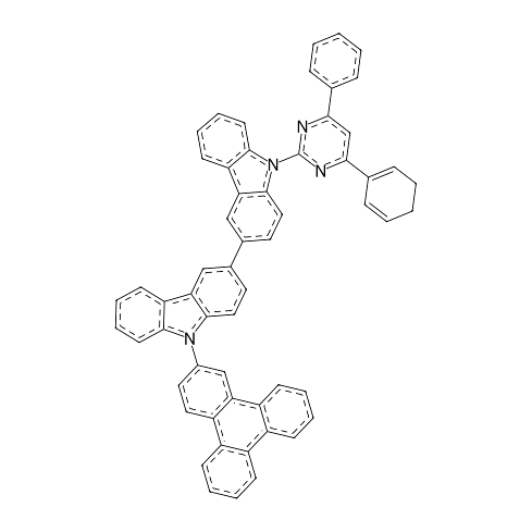 C1=CC(c2cc(-c3ccccc3)nc(-n3c4ccccc4c4cc(-c5ccc6c(c5)c5ccccc5n6-c5ccc6c7ccccc7c7ccccc7c6c5)ccc43)n2)=CCC1